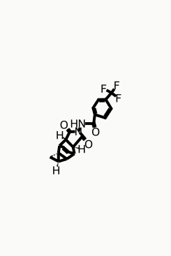 O=C(NN1C(=O)[C@@H]2C3C=CC(C4[C@H]5C[C@]345)[C@@H]2C1=O)c1ccc(C(F)(F)F)cc1